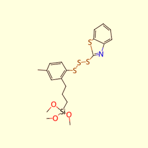 CO[Si](CCCc1cc(C)ccc1SSSc1nc2ccccc2s1)(OC)OC